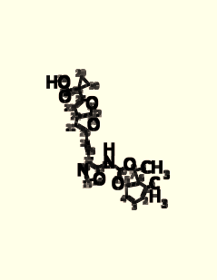 Cc1ccccc1C(C)OC(=O)Nc1ocnc1C#Cc1cc2cc(C3(C(=O)O)CC3)oc2o1